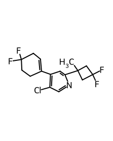 CC1(c2cc(C3=CCC(F)(F)CC3)c(Cl)cn2)CC(F)(F)C1